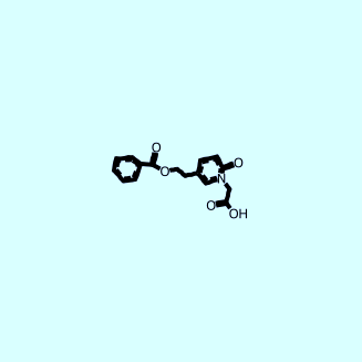 O=C(O)Cn1cc(CCOC(=O)c2ccccc2)ccc1=O